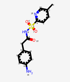 Cc1ccc(S(=O)(=O)NC(=O)Cc2ccc(N)cc2)nc1